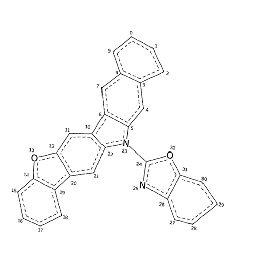 c1ccc2cc3c(cc2c1)c1cc2oc4ccccc4c2cc1n3-c1nc2ccccc2o1